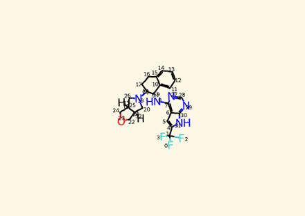 FC(F)(F)c1cc2c(N[C@H]3c4ccccc4CC[C@@H]3N3C[C@H]4COC[C@@H]4C3)ncnc2[nH]1